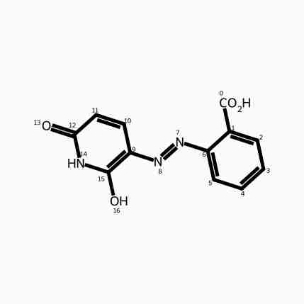 O=C(O)c1ccccc1N=Nc1ccc(=O)[nH]c1O